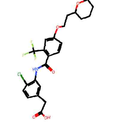 O=C(O)Cc1ccc(Cl)c(NC(=O)c2ccc(OCCC3CCCCO3)cc2C(F)(F)F)c1